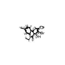 CCn1c(=O)c2c(O)c(Br)c(=O)oc2c2ccc(C)cc21